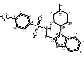 Cc1ccc(S(=O)(=O)NCc2cc3ccccc3n2C2CCNCC2)cc1